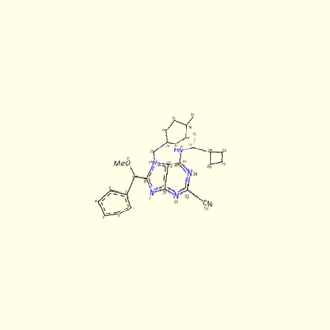 COC(c1ccccc1)c1nc2nc(C#N)nc(N[C@H](C)C3CCC3)c2n1CC1CCC(C)CC1